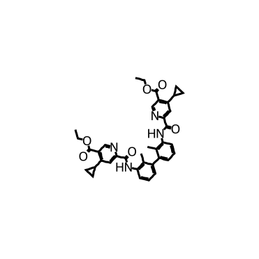 CCOC(=O)c1cnc(C(=O)Nc2cccc(-c3cccc(NC(=O)c4cc(C5CC5)c(C(=O)OCC)cn4)c3C)c2C)cc1C1CC1